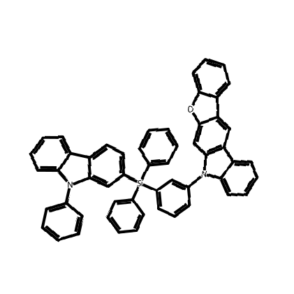 c1ccc(-n2c3ccccc3c3ccc([Si](c4ccccc4)(c4ccccc4)c4cccc(-n5c6ccccc6c6cc7c(cc65)oc5ccccc57)c4)cc32)cc1